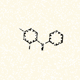 O=C(c1ccccc1)c1ccc(S)cc1Cl